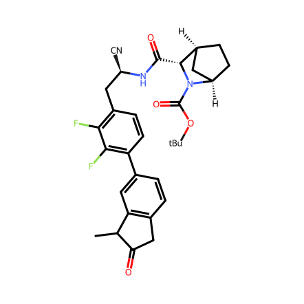 CC1C(=O)Cc2ccc(-c3ccc(C[C@@H](C#N)NC(=O)[C@@H]4[C@H]5CC[C@H](C5)N4C(=O)OC(C)(C)C)c(F)c3F)cc21